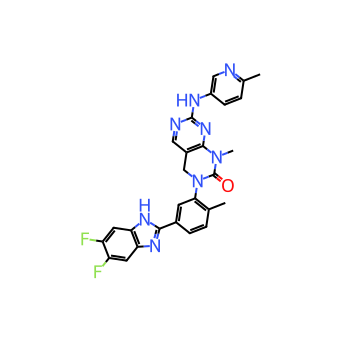 Cc1ccc(Nc2ncc3c(n2)N(C)C(=O)N(c2cc(-c4nc5cc(F)c(F)cc5[nH]4)ccc2C)C3)cn1